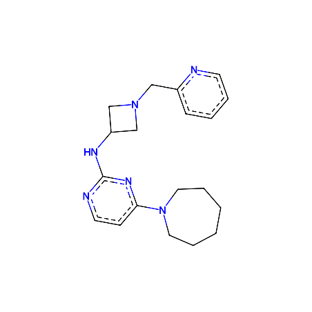 c1ccc(CN2CC(Nc3nccc(N4CCCCCC4)n3)C2)nc1